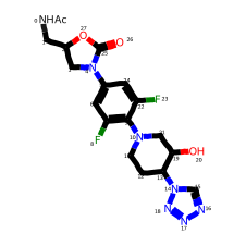 CC(=O)NCC1CN(c2cc(F)c(N3CCC(n4cnnn4)C(O)C3)c(F)c2)C(=O)O1